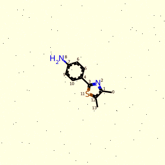 Cc1nc(-c2ccc(N)cc2)sc1C